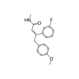 CNC(=O)C=C(Cc1ccc(OC)cc1)c1cccc(F)c1